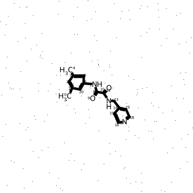 Cc1cc(C)cc(NC(=O)C(=O)NCc2ccncc2)c1